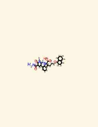 Cc1c(-c2cccc3c(CCCOc4cccc5ccccc45)c(C(=O)O)[nH]c23)cc(C(N)=O)c(=O)n1C